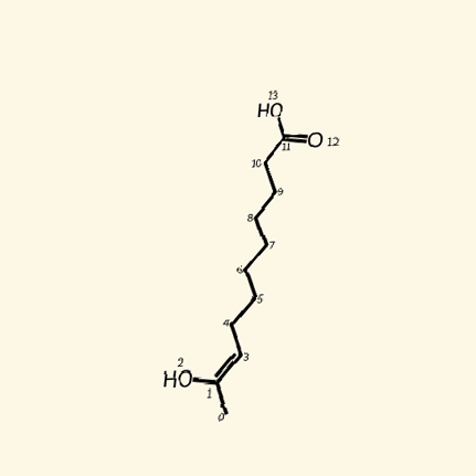 CC(O)=CCCCCCCCC(=O)O